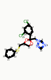 Clc1ccc(C2(Cn3cncn3)OCC(CSc3ccccc3)O2)c(Cl)c1